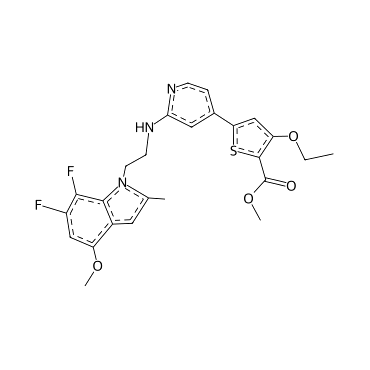 CCOc1cc(-c2ccnc(NCCn3c(C)cc4c(OC)cc(F)c(F)c43)c2)sc1C(=O)OC